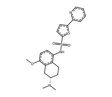 COc1ccc(NS(=O)(=O)c2ccc(-c3ccccn3)s2)c2c1C[C@@H](N(C)C)CC2